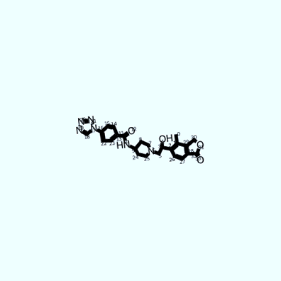 Cc1c(C(O)CN2CCC(NC(=O)c3ccc(-n4cnnn4)cc3)CC2)ccc2c1COC2=O